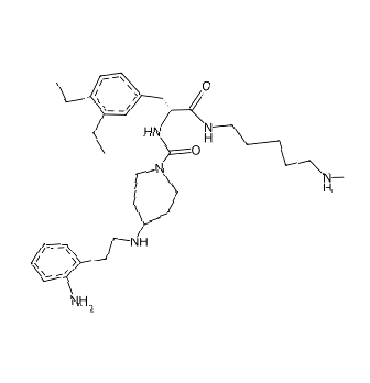 CCc1ccc(C[C@@H](NC(=O)N2CCC(NCCc3ccccc3N)CC2)C(=O)NCCCCCNC)cc1CC